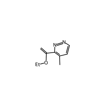 C=C(OCC)c1nnccc1C